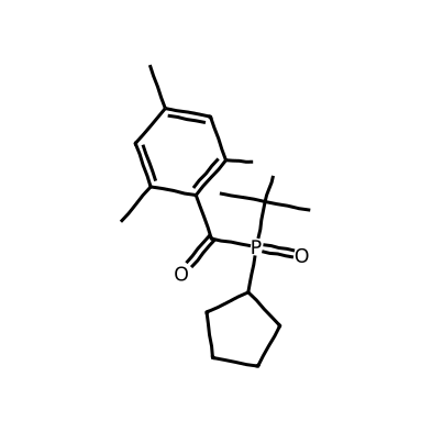 Cc1cc(C)c(C(=O)P(=O)(C2CCCC2)C(C)(C)C)c(C)c1